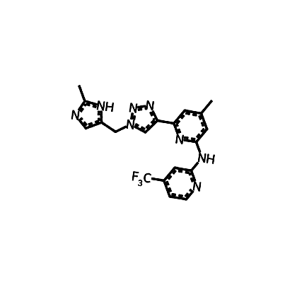 Cc1cc(Nc2cc(C(F)(F)F)ccn2)nc(-c2cn(Cc3cnc(C)[nH]3)nn2)c1